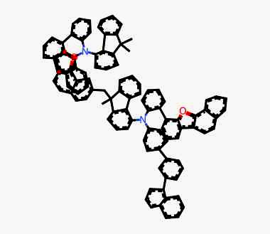 CC1(C)c2ccccc2-c2c(N(c3ccccc3-c3cccc4c3oc3c5cc(CC6(C)c7ccccc7-c7c(N(c8ccc(-c9cccc(-c%10cccc%11ccccc%10%11)c9)cc8)c8ccccc8-c8cccc9c8oc8c%10ccccc%10ccc98)cccc76)ccc5ccc43)c3cccc4ccccc34)cccc21